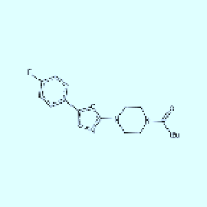 CC(C)(C)C(=O)N1CCN(c2ncc(-c3ccc(F)cc3)o2)CC1